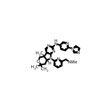 CNCc1cccc(N2c3nc(Nc4ccc(-n5ccnc5)nc4)ncc3[C@@]3(C)COC(C)(C)C[C@@H]23)n1